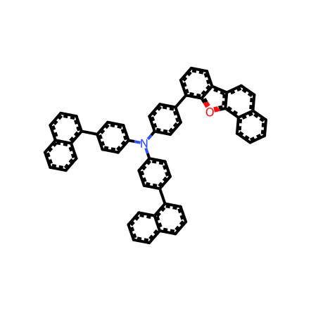 c1ccc2c(-c3ccc(N(c4ccc(-c5cccc6ccccc56)cc4)c4ccc(-c5cccc6c5oc5c7ccccc7ccc65)cc4)cc3)cccc2c1